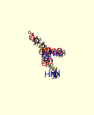 CCOc1ccc(-c2ccc(S(=O)(=O)N3CCN(S(=O)(=O)CCCSc4ncc[nH]4)C[C@@H]3C(=O)NOC3CCCCO3)s2)cc1